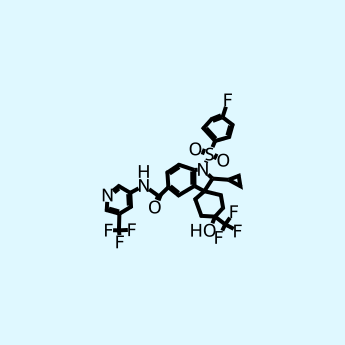 O=C(Nc1cncc(C(F)(F)F)c1)c1ccc2c(c1)C1(CCC(O)(C(F)(F)F)CC1)C(C1CC1)N2S(=O)(=O)c1ccc(F)cc1